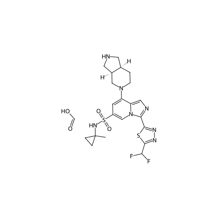 CC1(NS(=O)(=O)c2cc(N3CC[C@@H]4CNC[C@@H]4C3)c3cnc(-c4nnc(C(F)F)s4)n3c2)CC1.O=CO